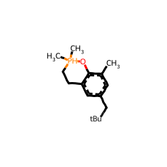 Cc1cc(CC(C)(C)C)cc2c1O[PH](C)(C)CC2